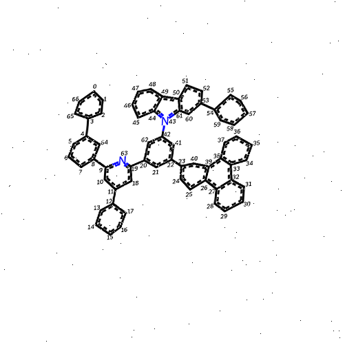 c1ccc(-c2cccc(-c3cc(-c4ccccc4)cc(-c4cc(-c5ccc6c7ccccc7c7ccccc7c6c5)cc(-n5c6ccccc6c6ccc(-c7ccccc7)cc65)c4)n3)c2)cc1